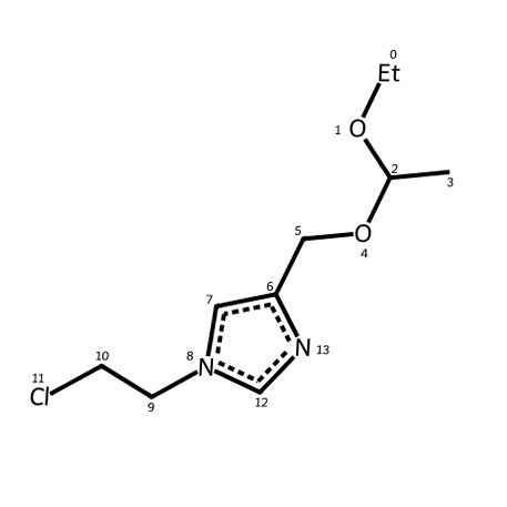 CCOC(C)OCc1cn(CCCl)cn1